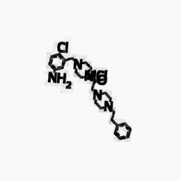 Cl.Nc1ccc(Cl)c(CN2CCN(C(=O)CN3CCN(CCc4ccccc4)CC3)CC2)c1